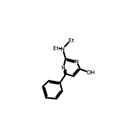 CCN(CC)c1nc(O)cc(-c2ccccc2)n1